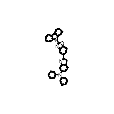 c1ccc(N(c2ccccc2)c2ccc3c(c2)N=C(c2ccc4oc(-n5c6ccccc6c6ccccc65)nc4c2)C3)cc1